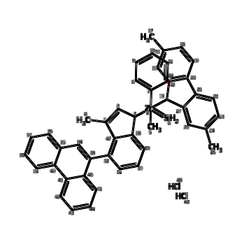 CC1=C[CH]([Zr]([CH3])(=[SiH2])([c]2ccccc2)[CH]2c3cc(C)ccc3-c3ccc(C)cc32)c2cccc(-c3cc4ccccc4c4ccccc34)c21.Cl.Cl